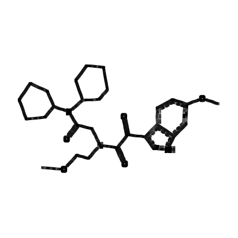 COCCN(CC(=O)N(C1CCCCC1)C1CCCCC1)C(=O)C(=O)c1c[nH]c2cc(OC)ccc12